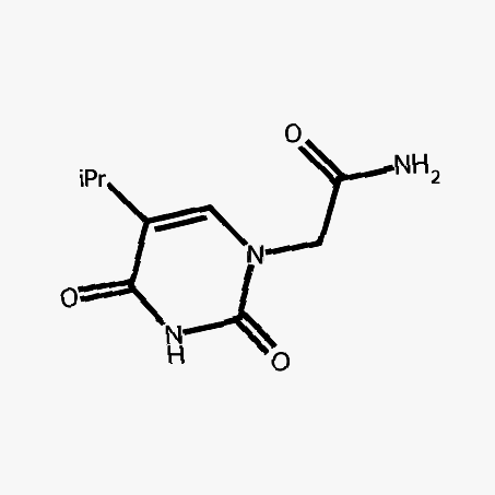 CC(C)c1cn(CC(N)=O)c(=O)[nH]c1=O